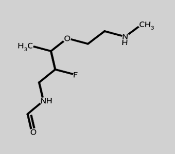 CNCCOC(C)C(F)CNC=O